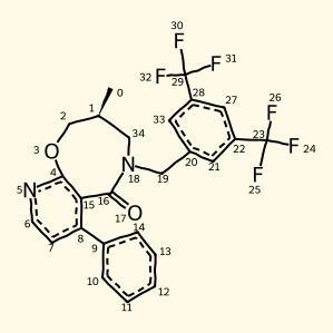 C[C@@H]1COc2nccc(-c3ccccc3)c2C(=O)N(Cc2cc(C(F)(F)F)cc(C(F)(F)F)c2)C1